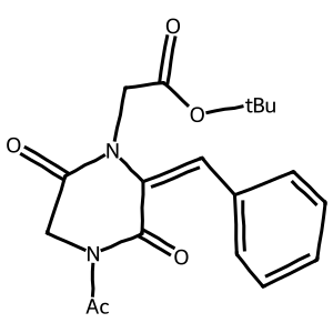 CC(=O)N1CC(=O)N(CC(=O)OC(C)(C)C)C(=Cc2ccccc2)C1=O